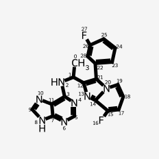 CC(Nc1ncnc2[nH]cnc12)c1nc2c(F)cccn2c1-c1cccc(F)c1